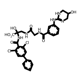 O=C(CNC(=O)c1cccc(NC2=NCC(O)CN2)c1)NCC(O)(NC(=O)c1c(Cl)cc(-c2ccccc2)cc1Cl)C(=O)O